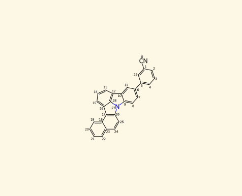 N#Cc1cccc(-c2ccc3c(c2)c2cccc4c5c6ccccc6ccc5n3c24)c1